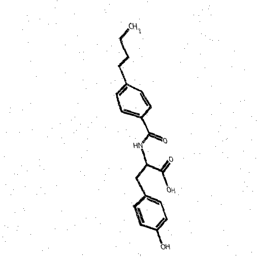 CCCCc1ccc(C(=O)NC(Cc2ccc(O)cc2)C(=O)O)cc1